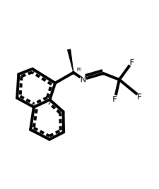 C[C@@H](N=CC(F)(F)F)c1cccc2ccccc12